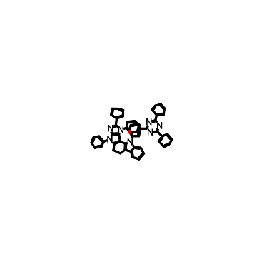 c1ccc(-c2nc(-c3ccccc3)nc(-c3cccc(-n4c5c(c6ccccc64)CCc4c-5c5c(nc(-c6ccccc6)n5-c5ccccc5)n4-c4ccccc4)c3)n2)cc1